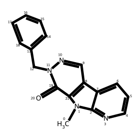 Cn1c2ncccc2c2cnn(Cc3ccccc3)c(=O)c21